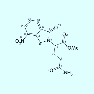 COC(=O)C(CCC(N)=O)N1Cc2c(cccc2[N+](=O)[O-])C1=O